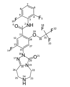 O=C(Nc1c(F)cccc1F)c1cc(F)c(-n2nc3n(c2=O)CCNCC3)cc1OCC(F)(F)F